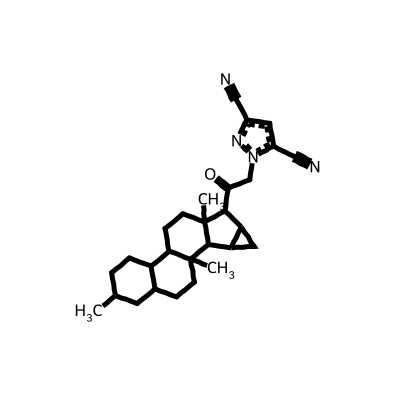 CC1CCC2C(CCC3(C)C2CCC2(C)C(C(=O)Cn4nc(C#N)cc4C#N)C4CC4C32)C1